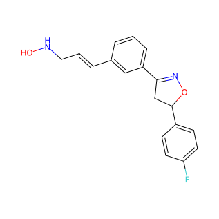 ONCC=Cc1cccc(C2=NOC(c3ccc(F)cc3)C2)c1